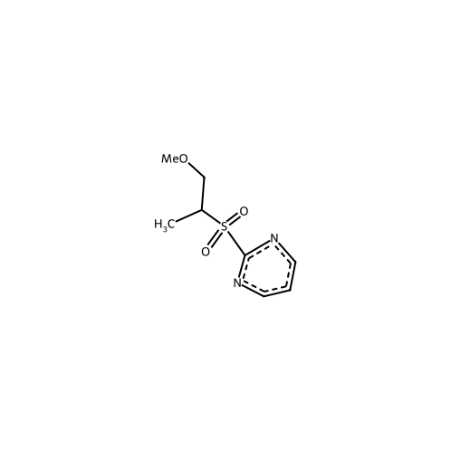 COCC(C)S(=O)(=O)c1ncccn1